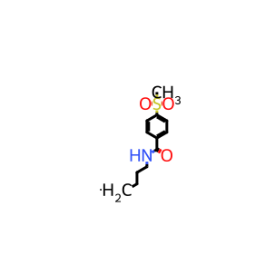 [CH2]CCCNC(=O)c1ccc(S(C)(=O)=O)cc1